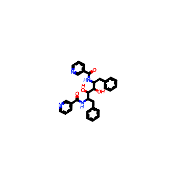 O=C(NC(Cc1ccccc1)C(O)C(O)C(Cc1ccccc1)NC(=O)c1cccnc1)c1cccnc1